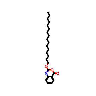 CCCCCCCCCCCCCCCCOc1nc2ccccc2c(=O)o1